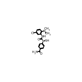 CN(C)c1ccc(Cl)cc1NC(=O)N(S)c1ccc(C(N)=O)cc1